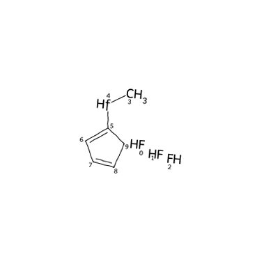 F.F.F.[CH3][Hf][C]1=CC=CC1